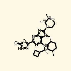 C[C@@H]1[C@@H](C)OCCN1c1nc2nc(-c3n[nH]c(=O)o3)nc(N[C@H](C)C3CCC3)c2n1C[C@H]1CC[C@H](C)CC1